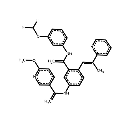 C=C(Nc1ccc(/C=C(\C)c2ccccn2)c(C(=C)Nc2cccc(OC(F)F)c2)c1)c1ccc(OC)nc1